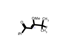 CO/C(=C\C(=O)C(C)C)C(C)(C)F